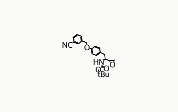 CC(C)(C)OC(=O)N[C@@H](Cc1ccc(OCc2cccc(C#N)c2)cc1)C1CO1